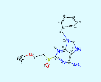 COCC[S+]([O-])c1nc(N)c2c(n1)N(Cc1ccccc1)CN2